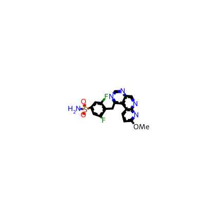 COc1ccc2c(ncc3ncnc(Cc4c(F)cc(S(N)(=O)=O)cc4F)c32)n1